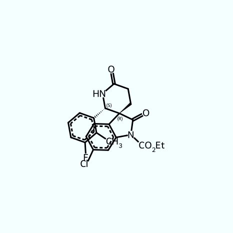 CCOC(=O)N1C(=O)[C@]2(CCC(=O)N[C@H]2c2cccc(F)c2C)c2ccc(Cl)cc21